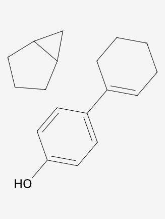 C1CC2CC2C1.Oc1ccc(C2=CCCCC2)cc1